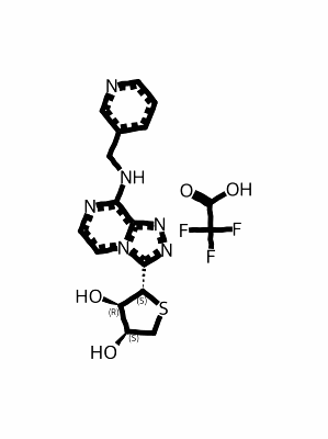 O=C(O)C(F)(F)F.O[C@@H]1[C@H](O)CS[C@H]1c1nnc2c(NCc3cccnc3)nccn12